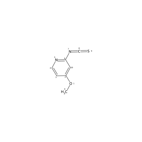 COc1ccnc(N=C=S)c1